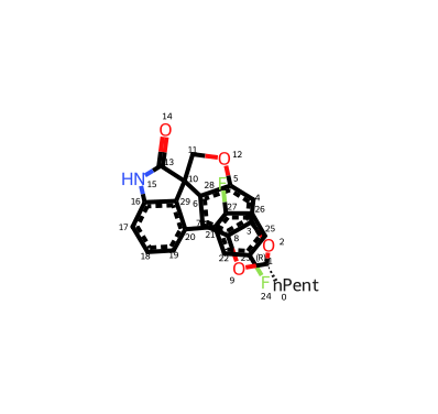 CCCCC[C@H]1Oc2cc3c(cc2O1)C1(CO3)C(=O)Nc2cccc(-c3cc(F)ccc3F)c21